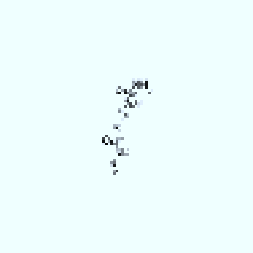 CCNC(=O)CCCCNC(N)=S